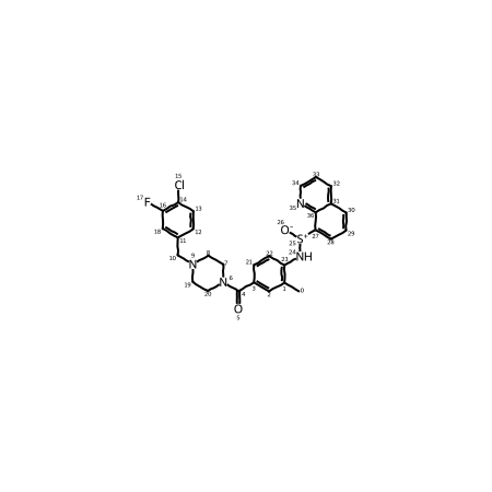 Cc1cc(C(=O)N2CCN(Cc3ccc(Cl)c(F)c3)CC2)ccc1N[S+]([O-])c1cccc2cccnc12